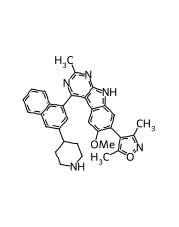 COc1cc2c(cc1-c1c(C)noc1C)[nH]c1nc(C)nc(-c3cc(C4CCNCC4)cc4ccccc34)c12